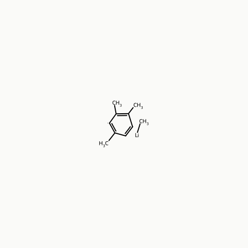 Cc1[c]c(C)c(C)cc1.[Li][CH3]